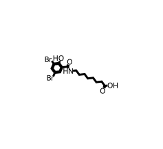 O=C(O)CCCCCCCNC(=O)c1cc(Br)cc(Br)c1O